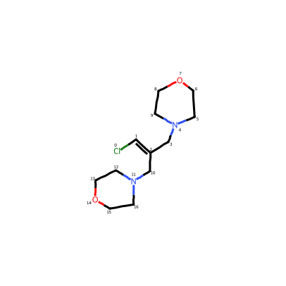 ClC=C(CN1CCOCC1)CN1CCOCC1